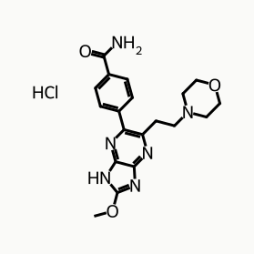 COc1nc2nc(CCN3CCOCC3)c(-c3ccc(C(N)=O)cc3)nc2[nH]1.Cl